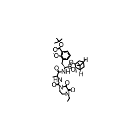 CCN1CCN(C(=O)NC(C)C(=O)N[C@@H](Cc2cccc(C(=O)OC(C)(C)C)c2OC)B2OC3C[C@@H]4C[C@@H](C4(C)C)[C@]3(C)O2)C(=O)C1=O